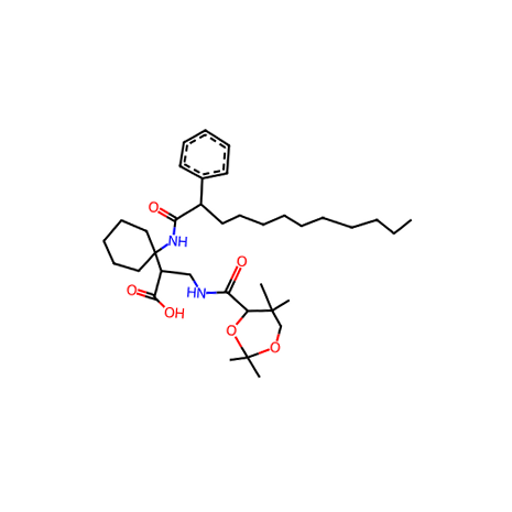 CCCCCCCCCCC(C(=O)NC1(C(CNC(=O)C2OC(C)(C)OCC2(C)C)C(=O)O)CCCCC1)c1ccccc1